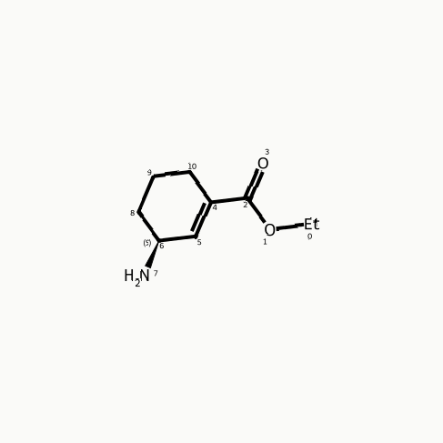 CCOC(=O)C1=C[C@@H](N)CCC1